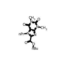 CCCCOC(=O)c1nc2c(c(=O)n(C)c(=O)n2C)n1CCC